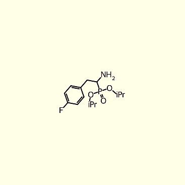 CC(C)OP(=O)(OC(C)C)C(N)Cc1ccc(F)cc1